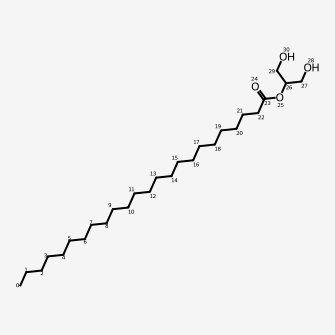 CCCCCCCCCCCCCCCCCCCCCCCC(=O)OC(CO)CO